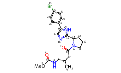 COC(=O)NCC(C)CC(=O)N1CCCC1c1ncc(-c2ccc(Br)cc2)[nH]1